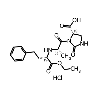 CCOC(=O)[C@H](CCc1ccccc1)N[C@@H](C)C(=O)N1C(=O)NC[C@H]1C(=O)O.Cl